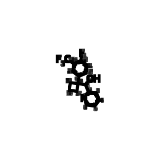 OC(c1ccccn1)C1(c2ccc(F)c(C(F)(F)F)c2)CCC1